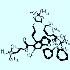 Cc1cc2occc2c(/C=C/C[C@@H]2OC(C)(C)O[C@@H]2C(C)/C=C\[C@@H](C)[C@H](C)O[Si](c2ccccc2)(c2ccccc2)C(C)(C)C)c1C(=O)OCC[Si](C)(C)C